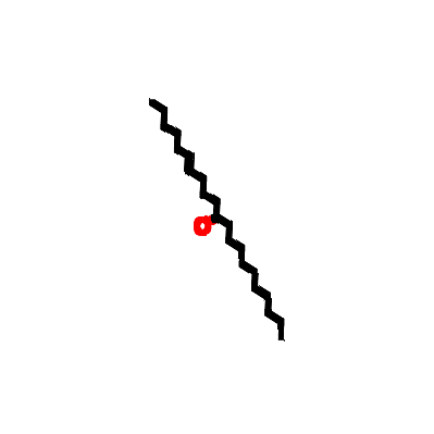 CCCCCC=CCCCC(=O)CCCCCCCCCC